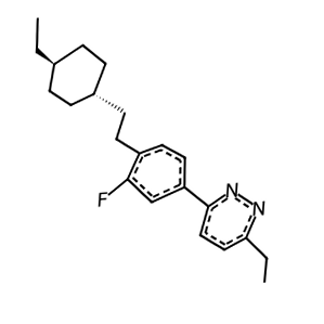 CCc1ccc(-c2ccc(CC[C@H]3CC[C@H](CC)CC3)c(F)c2)nn1